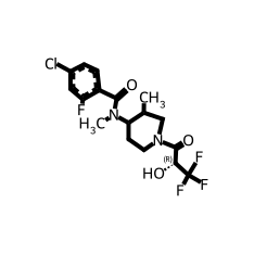 CC1CN(C(=O)[C@@H](O)C(F)(F)F)CCC1N(C)C(=O)c1ccc(Cl)cc1F